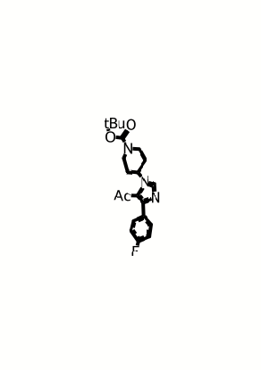 CC(=O)c1c(-c2ccc(F)cc2)ncn1C1CCN(C(=O)OC(C)(C)C)CC1